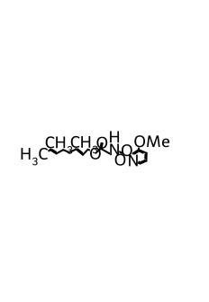 COc1cccnc1OC(=O)NCC(=O)OC/C=C(\C)CCC=C(C)C